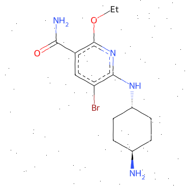 CCOc1nc(N[C@H]2CC[C@H](N)CC2)c(Br)cc1C(N)=O